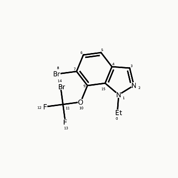 CCn1ncc2ccc(Br)c(OC(F)(F)Br)c21